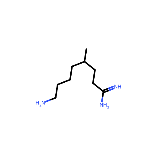 C[C](CCCCN)CCC(=N)N